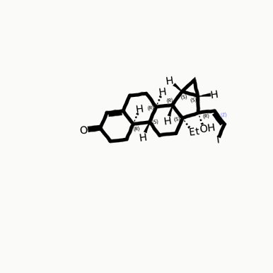 CC[C@]12CC[C@H]3[C@@H](CCC4=CC(=O)CC[C@@H]43)[C@@H]1[C@@H]1C[C@@H]1[C@@]2(O)/C=C\I